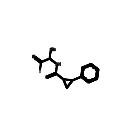 CC(C)(C)C(NC(=O)C1CC1c1ccccc1)C(=O)I